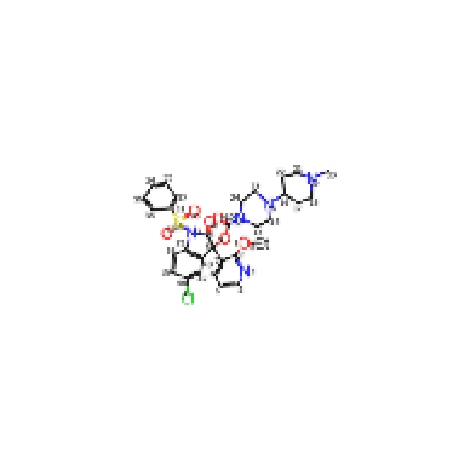 CCOc1ncccc1C1(OC(=O)N2CCN(C3CCN(C)CC3)CC2)C(=O)N(S(=O)(=O)c2ccccc2)c2ccc(Cl)cc21